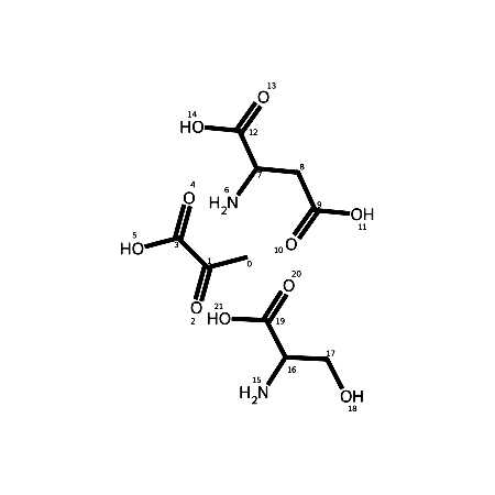 CC(=O)C(=O)O.NC(CC(=O)O)C(=O)O.NC(CO)C(=O)O